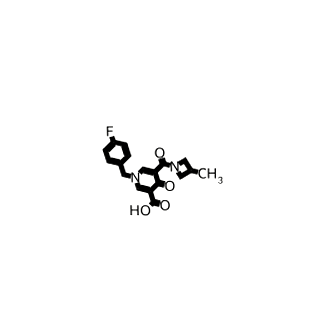 CC1CN(C(=O)c2cn(Cc3ccc(F)cc3)cc(C(=O)O)c2=O)C1